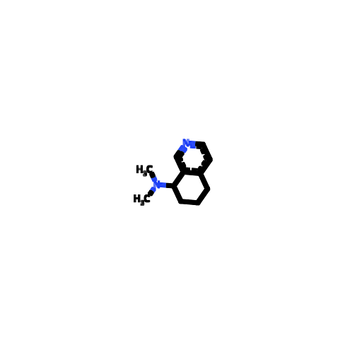 CN(C)C1CCCc2ccncc21